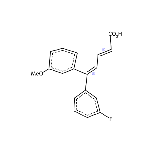 COc1cccc(/C(=C\C=C\C(=O)O)c2cccc(F)c2)c1